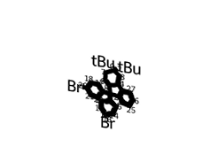 CC(C)(C)C1(C(C)(C)C)C=C2C(=CC1)C(c1ccc(Br)cc1)(c1ccc(Br)cc1)c1ccccc12